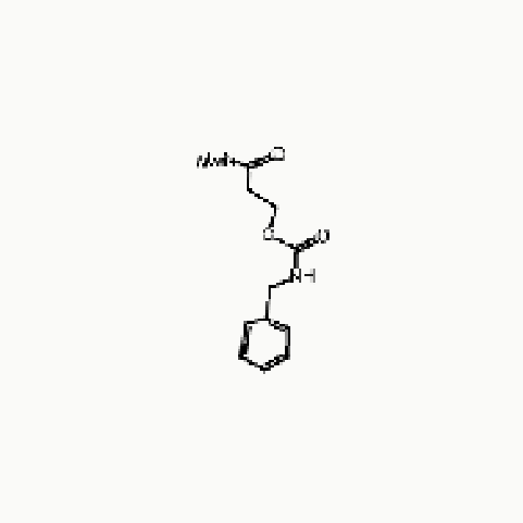 CNC(=O)CCOC(=O)NCc1ccccc1